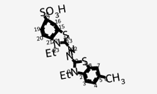 CCN1c2ccc(C)cc2SC1N=NC1Sc2cc(S(=O)(=O)O)ccc2N1CC